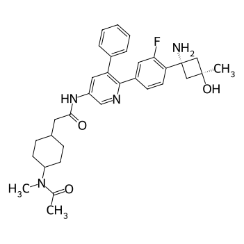 CC(=O)N(C)C1CCC(CC(=O)Nc2cnc(-c3ccc([C@]4(N)C[C@](C)(O)C4)c(F)c3)c(-c3ccccc3)c2)CC1